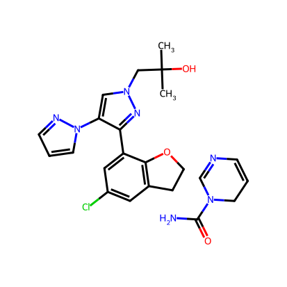 CC(C)(O)Cn1cc(-n2cccn2)c(-c2cc(Cl)cc3c2OCC3)n1.NC(=O)N1C=NC=CC1